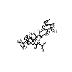 CC(=O)N(C[C@H]1CN(S(=O)(=O)c2cccs2)CCN1c1ccc([C@](C)(O)C(F)(F)F)cc1)C(C)C